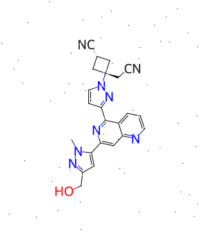 Cn1nc(CO)cc1-c1cc2ncccc2c(-c2ccn([C@]3(CC#N)C[C@H](C#N)C3)n2)n1